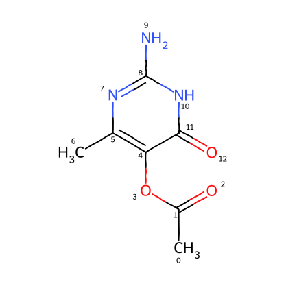 CC(=O)Oc1c(C)nc(N)[nH]c1=O